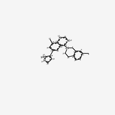 Cc1ccc2c(c1)CN(c1ncnc3c(C)cc(-c4ccn[nH]4)cc13)CC2